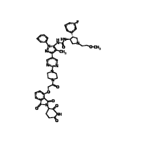 COCCN1C[C@@H](NC(=O)Nc2c(C)c(-c3cnc(N4CCN(C(=O)COc5cccc6c5C(=O)N(C5CCC(=O)NC5=O)C6=O)CC4)nc3)nn2-c2ccccc2)[C@H](c2cccc(F)c2)C1